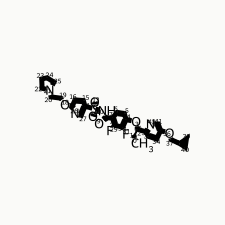 CC[C@@H](Oc1ccc(C(=O)NS(=O)(=O)c2ccc(OCCN3CCCC3)nc2)c(F)c1F)c1ccc(OCC2CC2)cn1